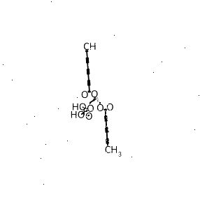 C#CC#CC#CC#CC(=O)O[C@H](COC(=O)C#CC#CC#CC)COP(=O)(O)O